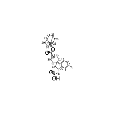 Cc1ccc2c(c1)C(CC(=O)O)CC21CCN(C(=O)OC2C3CC4CC(C3)CC2C4)CC1